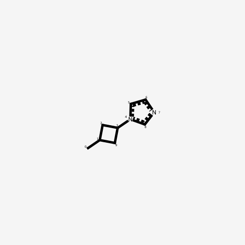 CC1CC(n2ccnc2)C1